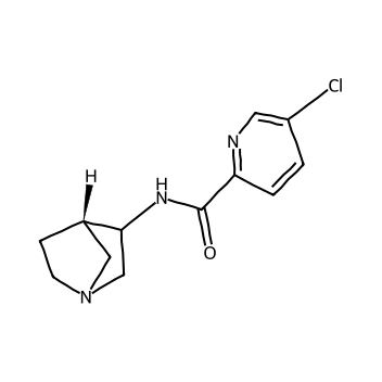 O=C(NC1CN2CC[C@H]1C2)c1ccc(Cl)cn1